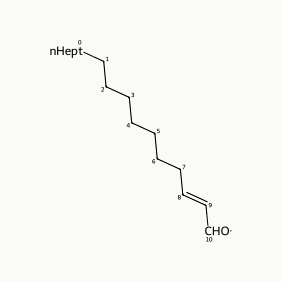 CCCCCCCCCCCCCCC=C[C]=O